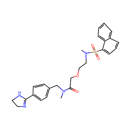 CN(Cc1ccc(C2=NCCN2)cc1)C(=O)COCCN(C)S(=O)(=O)c1cccc2ccccc12